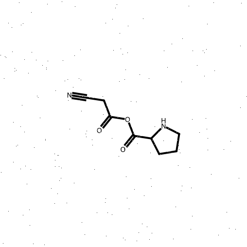 N#CCC(=O)OC(=O)C1CCCN1